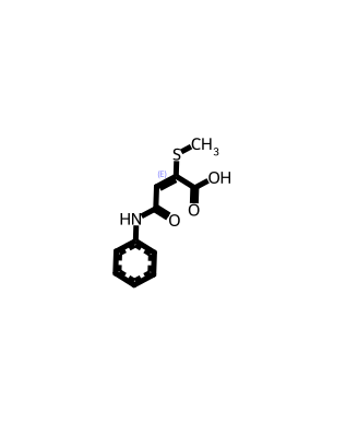 CS/C(=C/C(=O)Nc1ccccc1)C(=O)O